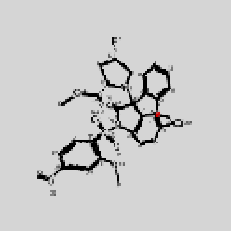 COC(=O)[C@@H]1C[C@H](F)CN1C1(c2ccccc2OC)C(=O)N(S(=O)(=O)c2ccc(OC)cc2OC)c2ccc(Cl)cc21